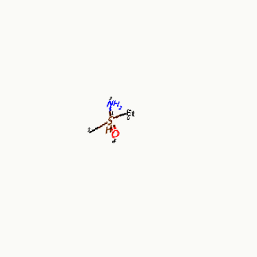 CC[SH](C)(N)=O